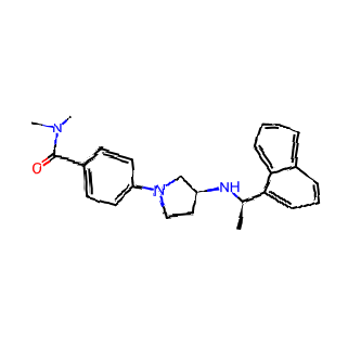 C[C@@H](N[C@H]1CCN(c2ccc(C(=O)N(C)C)cc2)C1)c1cccc2ccccc12